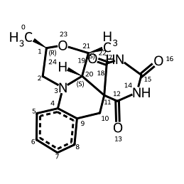 C[C@@H]1CN2c3ccccc3CC3(C(=O)NC(=O)NC3=O)[C@H]2[C@H](C)O1